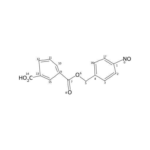 O=Nc1ccc(COC(=O)c2cccc(C(=O)O)c2)cc1